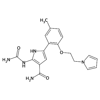 Cc1ccc(OCCn2cccc2)c(-c2cc(C(N)=O)c(NC(N)=O)[nH]2)c1